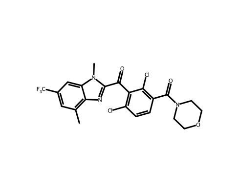 Cc1cc(C(F)(F)F)cc2c1nc(C(=O)c1c(Cl)ccc(C(=O)N3CCOCC3)c1Cl)n2C